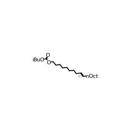 CCCCCCCC/C=C/CCCCCCCCOC(=O)OCC(C)C